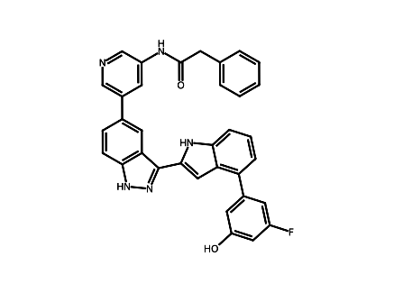 O=C(Cc1ccccc1)Nc1cncc(-c2ccc3[nH]nc(-c4cc5c(-c6cc(O)cc(F)c6)cccc5[nH]4)c3c2)c1